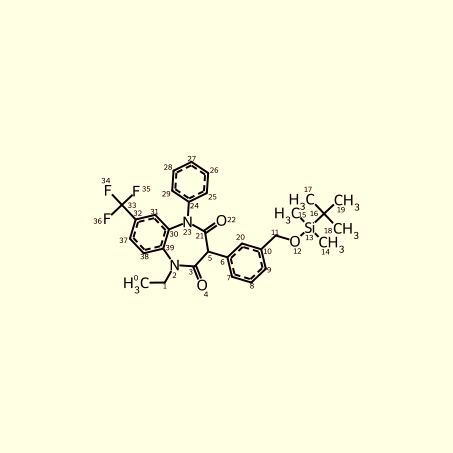 CCN1C(=O)C(c2cccc(CO[Si](C)(C)C(C)(C)C)c2)C(=O)N(c2ccccc2)c2cc(C(F)(F)F)ccc21